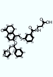 O=C(O)CCNC(=O)c1cccc(SCc2c(O[C@H](Cn3ccnc3)c3ccccc3)ccc3c2CCCC3=O)c1